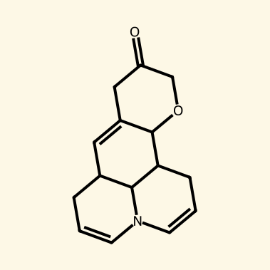 O=C1COC2C(=CC3CC=CN4C=CCC2C34)C1